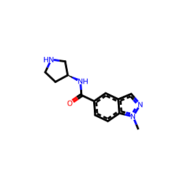 Cn1ncc2cc(C(=O)N[C@H]3CCNC3)ccc21